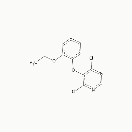 CCOc1ccccc1Oc1c(Cl)ncnc1Cl